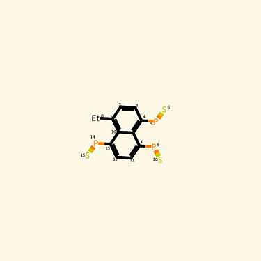 CCc1ccc(P=S)c2c(P=S)ccc(P=S)c12